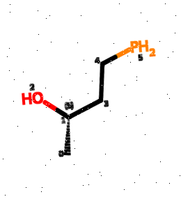 C[C@H](O)CCP